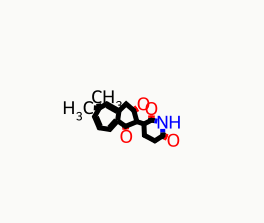 CC1(C)C=CC=C2C(=O)C(C3CCC(=O)NC3=O)C(=O)CC2=C1